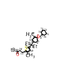 CCC(CC)(c1ccc(OCc2ccccc2)c(C)c1)c1cc(C)c(CCC(=O)C(C)(C)C)s1